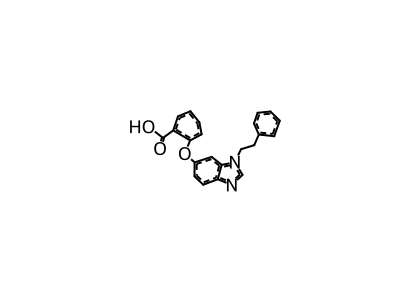 O=C(O)c1ccccc1Oc1ccc2ncn(CCc3ccccc3)c2c1